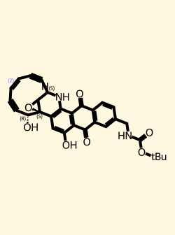 CC(C)(C)OC(=O)NCc1ccc2c(c1)C(=O)c1c(O)cc3c(c1C2=O)N[C@H]1C#C/C=C\C#C[C@@H](O)[C@@]32OC12